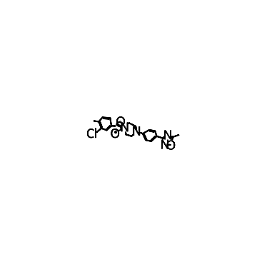 Cc1nc(-c2ccc(N3CCN(S(=O)(=O)c4ccc(C)c(Cl)c4)CC3)cc2)no1